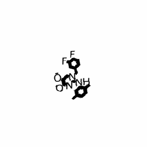 COc1cn(Cc2ccc(F)c(F)c2)c(Nc2cc(C)ccc2C)nc1=O